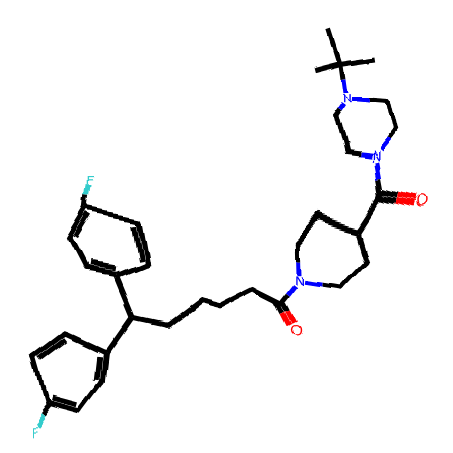 CC(C)(C)N1CCN(C(=O)C2CCN(C(=O)CCCCC(c3ccc(F)cc3)c3ccc(F)cc3)CC2)CC1